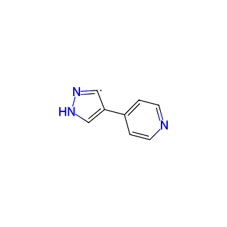 [c]1n[nH]cc1-c1ccncc1